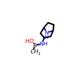 CB(O)NC1CC2CCC(C1)N2